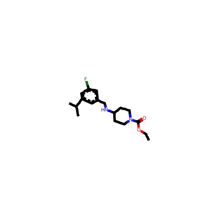 CCOC(=O)N1CCC(NCc2cc(F)cc(C(C)C)c2)CC1